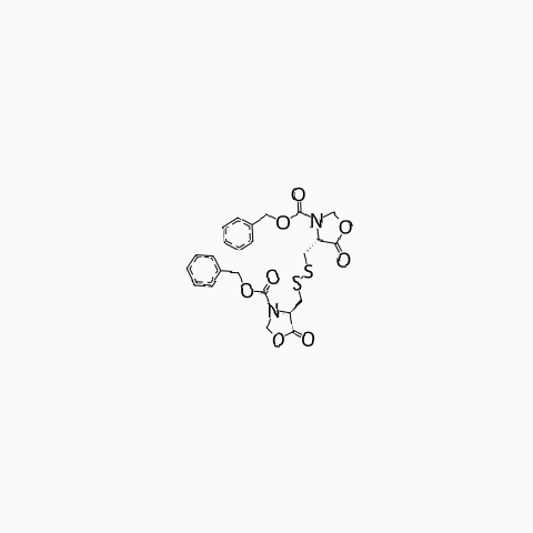 O=C1OCN(C(=O)OCc2ccccc2)[C@H]1CSSC[C@H]1C(=O)OCN1C(=O)OCc1ccccc1